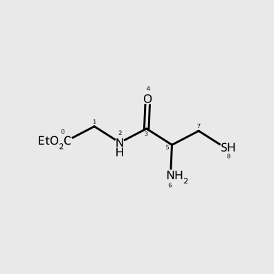 CCOC(=O)CNC(=O)C(N)CS